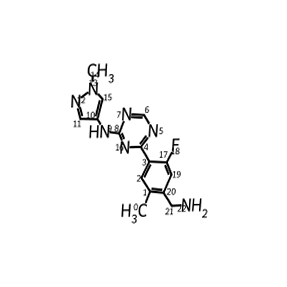 Cc1cc(-c2ncnc(Nc3cnn(C)c3)n2)c(F)cc1CN